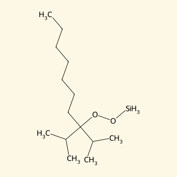 CCCCCCCC(OO[SiH3])(C(C)C)C(C)C